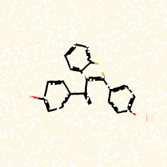 C=C(c1ccc(O)cc1)c1c(-c2ccc(O)cc2)sc2ccccc12